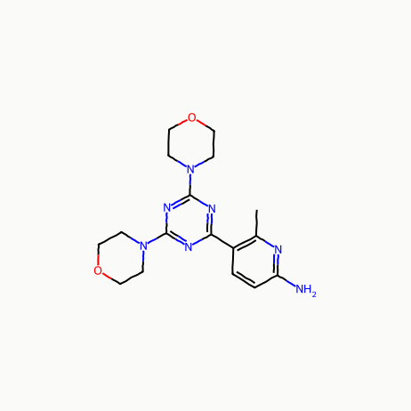 Cc1nc(N)ccc1-c1nc(N2CCOCC2)nc(N2CCOCC2)n1